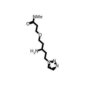 CNC(=O)CCOCCC(N)CCn1ccnn1